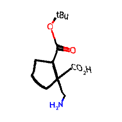 CC(C)(C)OC(=O)C1CCCC1(CN)C(=O)O